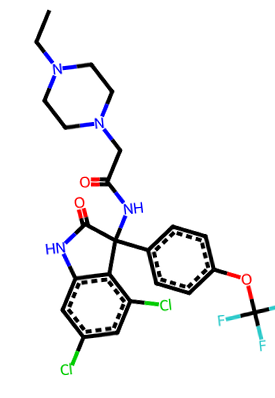 CCN1CCN(CC(=O)NC2(c3ccc(OC(F)(F)F)cc3)C(=O)Nc3cc(Cl)cc(Cl)c32)CC1